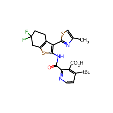 Cc1csc(-c2c(NC(=O)c3nccc(C(C)(C)C)c3C(=O)O)sc3c2CCC(F)(F)C3)n1